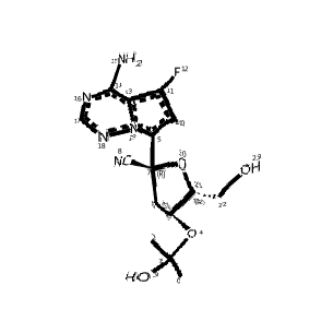 CC(C)(O)O[C@H]1C[C@](C#N)(c2cc(F)c3c(N)ncnn23)O[C@@H]1CO